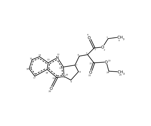 CCOC(=O)C(CC1CCn2c1nc1ccccc1c2=O)C(=O)OCC